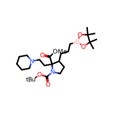 COC(=O)C1(CCN2CCCCC2)C(CCCB2OC(C)(C)C(C)(C)O2)CCN1C(=O)OC(C)(C)C